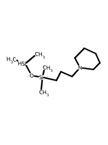 C[SiH](C)O[Si](C)(C)CCCN1CCCCC1